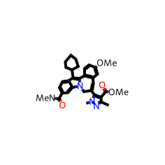 CNC(=O)c1ccc2c(C3CCCCC3)c3n(c2c1)CC(c1c(C(=O)OC)c(C)nn1C)=Cc1cc(OC)ccc1-3